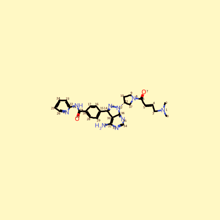 CN(C)C/C=C/C(=O)N1CC[C@@H](n2nc(-c3ccc(C(=O)Nc4ccccn4)cc3)c3c(N)ncnc32)C1